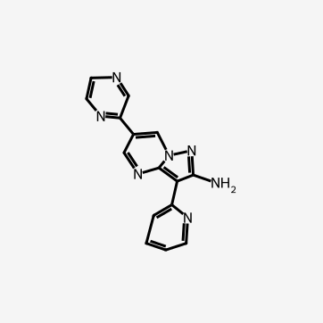 Nc1nn2cc(-c3cnccn3)cnc2c1-c1ccccn1